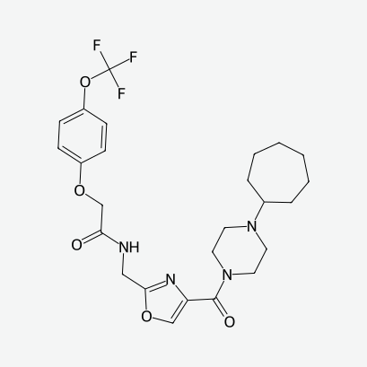 O=C(COc1ccc(OC(F)(F)F)cc1)NCc1nc(C(=O)N2CCN(C3CCCCCC3)CC2)co1